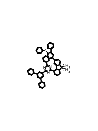 CC1(C)c2ccc(-c3ccc4c(c3)c3ccccc3n4-c3ccccc3)cc2-c2c(-c3nc(-c4ccccc4)nc(-c4cc(-c5ccccc5)cc(-c5ccccc5)c4)n3)cccc21